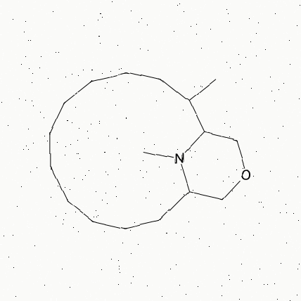 CC1CCCCCCCCCCC2COCC1N2C